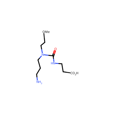 COCCN(CCCN)C(=O)NCCC(=O)O